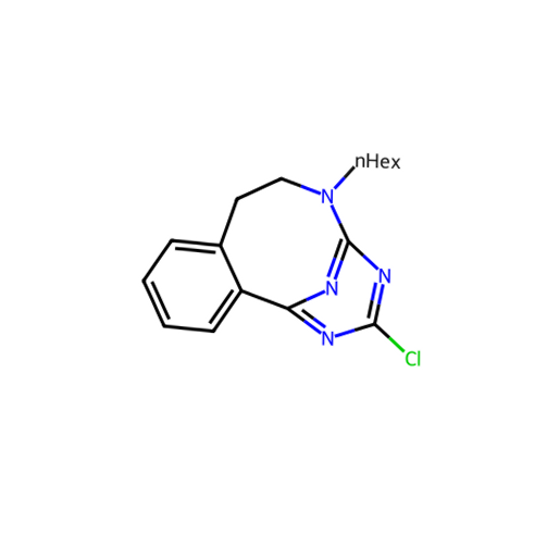 CCCCCCN1CCc2ccccc2-c2nc(Cl)nc1n2